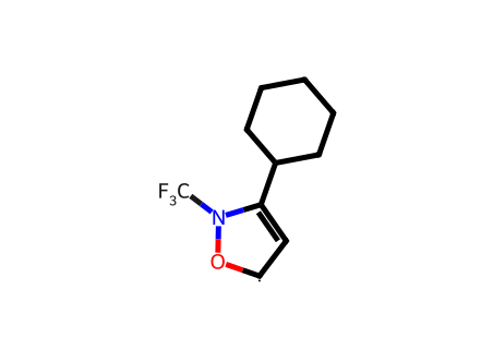 FC(F)(F)N1O[CH]C=C1C1CCCCC1